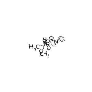 CCC(COC)NC(=O)[C@@]1(O)CCN(c2ccccc2)C1=O